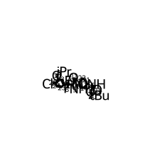 CC(C)Oc1cc(C(F)(F)C(N)C(=O)N2CCC(NC(=O)OC(C)(C)C)CC2)ccc1Cl